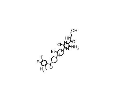 CC[C@H]1CN(c2nc(N)c(C(=O)NCCO)nc2Cl)CCN1C1CCN(C(=O)c2cc(F)c(F)cc2N)CC1